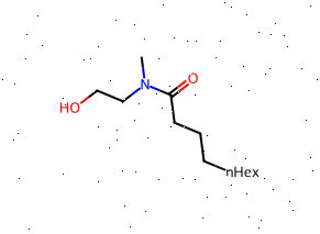 CCCCCCCCCC(=O)N(C)CCO